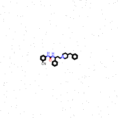 N#Cc1cccc(NC(=O)NC(CCN2CCC(Cc3ccccc3)CC2)c2ccccc2)c1